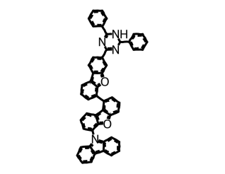 c1ccc(C2=NC(c3ccc4c(c3)oc3c(-c5cccc6oc7c(-n8c9ccccc9c9ccccc98)cccc7c56)cccc34)=NC(c3ccccc3)N2)cc1